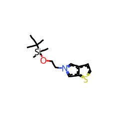 CC(C)(C)[Si](C)(C)OCCn1cc2ccsc2c1